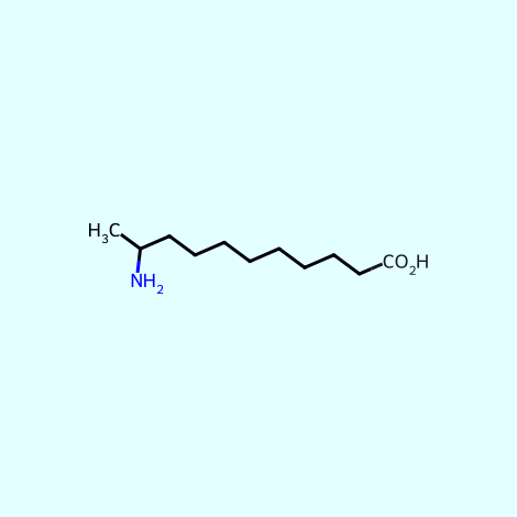 CC(N)CCCCCCCCC(=O)O